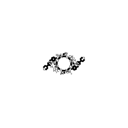 CC(C)C[C@H]1C(=O)O[C@H](Cc2ccc(Cn3cc(C4CCOCC4)cn3)cc2)C(=O)N(C)[C@@H](CC(C)C)C(=O)O[C@H](C)C(=O)N(C)[C@@H](CC(C)C)C(=O)O[C@H](Cc2ccc(Cn3cc(C4CCOCC4)cn3)cc2)C(=O)N(C)[C@@H](CC(C)C)C(=O)O[C@H](C)C(=O)N1C